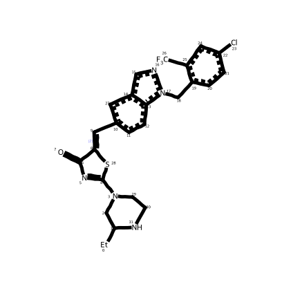 CCC1CN(C2=NC(=O)/C(=C/c3ccc4c(cnn4Cc4ccc(Cl)cc4C(F)(F)F)c3)S2)CCN1